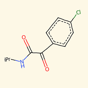 CC(C)NC(=O)C(=O)c1ccc(Cl)cc1